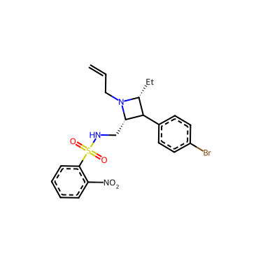 C=CCN1[C@H](CC)C(c2ccc(Br)cc2)[C@@H]1CNS(=O)(=O)c1ccccc1[N+](=O)[O-]